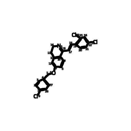 Clc1ccc(COc2ccc3c(c2)CCN=C3C=Cc2ccc(Cl)cc2Cl)cc1